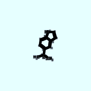 C[SH](C)c1ccc2[nH]ccc2c1